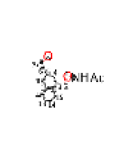 CC(=O)NOCc1cc(C2CC2=O)cc2ccccc12